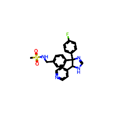 CS(=O)(=O)NCc1ccc(C2(c3ccc(F)cc3)N=CNC2c2ccncc2)cc1